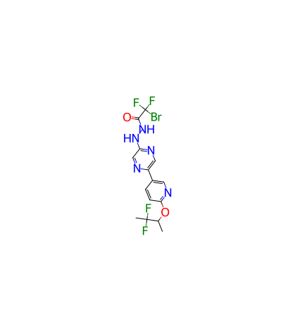 CC(Oc1ccc(-c2cnc(NNC(=O)C(F)(F)Br)cn2)cn1)C(C)(F)F